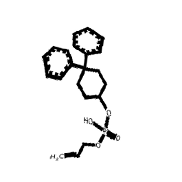 C=CCOP(=O)(O)OC1CCC(c2ccccc2)(c2ccccc2)CC1